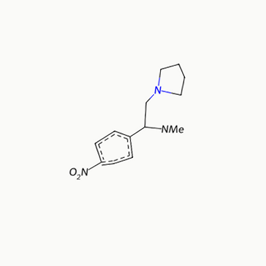 CNC(CN1CCCC1)c1ccc([N+](=O)[O-])cc1